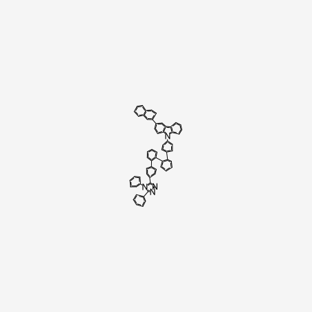 c1ccc(-c2nnc(-c3ccc(-c4ccccc4-c4ccccc4-c4ccc(-n5c6ccccc6c6cc(-c7ccc8ccccc8c7)ccc65)cc4)cc3)n2-c2ccccc2)cc1